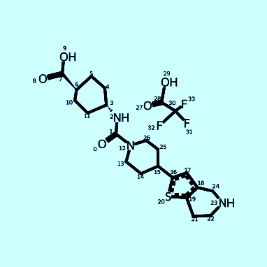 O=C(N[C@H]1CC[C@H](C(=O)O)CC1)N1CCC(c2cc3c(s2)CCNC3)CC1.O=C(O)C(F)(F)F